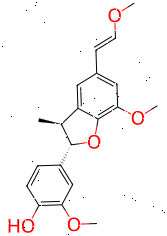 CO/C=C/c1cc(OC)c2c(c1)[C@H](C)[C@@H](c1ccc(O)c(OC)c1)O2